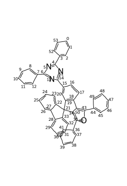 c1ccc(-c2nc(-c3ccccc3)nc(-c3ccc4c(c3)C3(c5ccccc5-c5ccccc53)c3c(-c5ccccc5)oc(-c5ccccc5)c3-4)n2)cc1